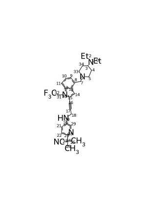 CCN(CC)C1CCN(Cc2cccc3c2cc(C#CCNc2ccc(C(C)(C)C#N)nc2)n3CC(F)(F)F)CC1